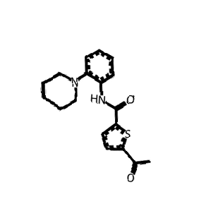 CC(=O)c1ccc(C(=O)Nc2ccccc2N2CCCCC2)s1